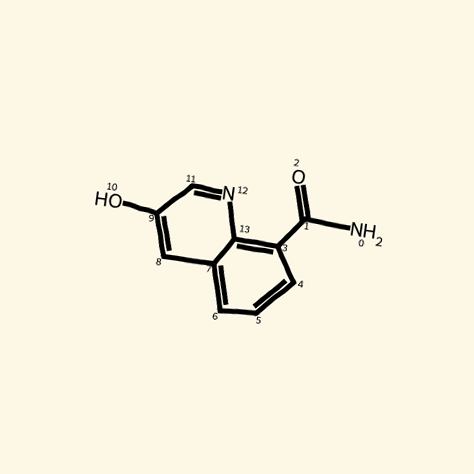 NC(=O)c1cccc2cc(O)cnc12